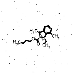 CCCCOC(=O)N1[C@H](CC)c2c(C)cccc2[C@@H]1C